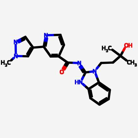 Cn1cc(-c2cc(C(=O)/N=c3\[nH]c4ccccc4n3CCC(C)(C)O)ccn2)cn1